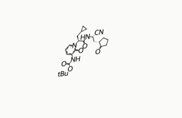 CC(C)(C)OC(=O)Nc1cccn([C@@H](CC2CC2)C(=O)N[C@H](C#N)C[C@@H]2CCCC2=O)c1=O